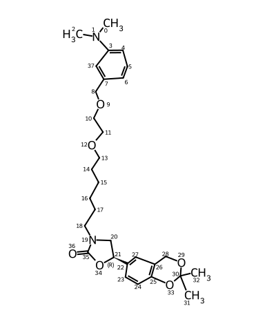 CN(C)c1cccc(COCCOCCCCCCN2C[C@@H](c3ccc4c(c3)COC(C)(C)O4)OC2=O)c1